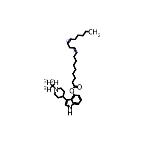 [2H]C([2H])([2H])N1CCC(c2c[nH]c3cccc(OC(=O)CCCCCCC/C=C\C/C=C\CCCCC)c23)CC1